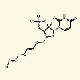 CC1(C)OC2[C@@H](COCCOSOOO)O[C@@H](n3ccc(=O)[nH]c3=O)[C@H]2O1